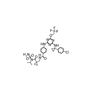 CC(C)N(C(=O)C1(CNC(=O)c2ccc(Nc3nc(NC4(c5ccc(Cl)cc5)CC4)nc(OCC(F)(F)F)n3)cc2)CC1)S(N)(=O)=O